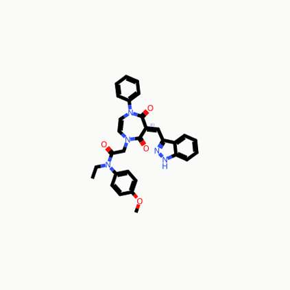 CCN(C(=O)CN1C=CN(c2ccccc2)C(=O)/C(=C/c2n[nH]c3ccccc23)C1=O)c1ccc(OC)cc1